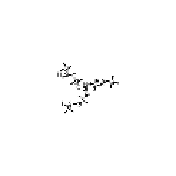 C[Si](C)(O[SiH2][Si](C)(C)C)O[SiH](O[Si](C)(C)O[SiH2][Si](C)(C)C)O[Si](C)(C)O[SiH2][Si](C)(C)C